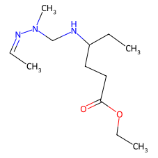 C/C=N\N(C)CNC(CC)CCC(=O)OCC